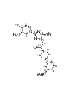 CCCc1nc(-c2ccc(F)c(C)c2)nn1CC(=O)N1CCN(c2cc(OC)ccn2)CC1